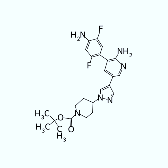 CC(C)(C)OC(=O)N1CCC(n2cc(-c3cnc(N)c(-c4cc(F)c(N)cc4F)c3)cn2)CC1